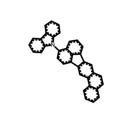 c1ccc2c(c1)ccc1cc3c(cc12)-c1ccc(-n2c4ccccc4c4ccccc42)c2cccc-3c12